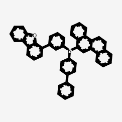 c1ccc(-c2ccc(N(c3cccc(-c4cccc5c4oc4ccccc45)c3)c3cc4c5ccccc5ccc4c4ccccc34)cc2)cc1